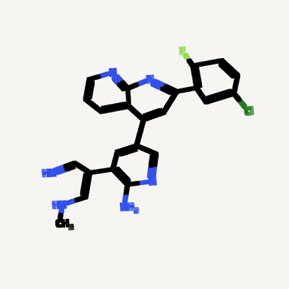 CN/C=C(\C=N)c1cc(-c2cc(-c3cc(Cl)ccc3F)nc3ncccc23)cnc1N